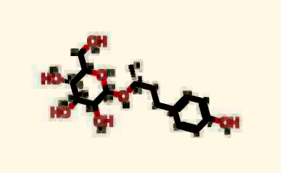 C[C@H](CCc1ccc(O)cc1)O[C@@H]1OC(CO)[C@@H](O)[C@H](O)C1O